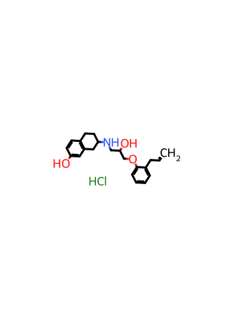 C=CCc1ccccc1OCC(O)CNC1CCc2ccc(O)cc2C1.Cl